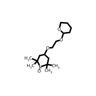 CC1(C)CC(OCCOC2CCCCO2)CC(C)(C)N1[O]